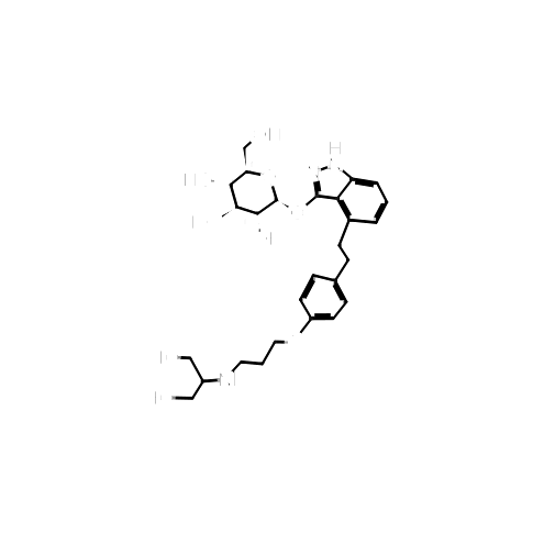 OCC(CO)NCCCOc1ccc(CCc2cccc3[nH]nc(O[C@@H]4O[C@H](CO)[C@@H](O)[C@H](O)[C@H]4O)c23)cc1